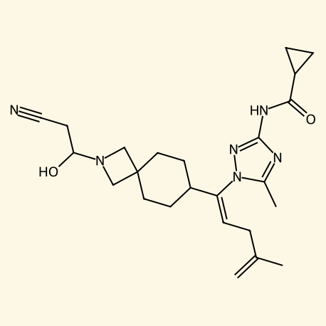 C=C(C)C/C=C(/C1CCC2(CC1)CN(C(O)CC#N)C2)n1nc(NC(=O)C2CC2)nc1C